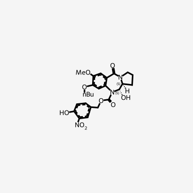 CCCCOc1cc2c(cc1OC)C(=O)N1CCC[C@H]1[C@H](O)N2C(=O)OCc1ccc(O)c([N+](=O)[O-])c1